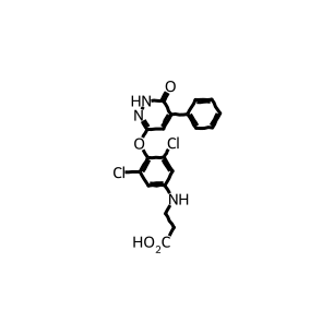 O=C(O)CCNc1cc(Cl)c(Oc2cc(-c3ccccc3)c(=O)[nH]n2)c(Cl)c1